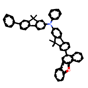 CC1(C)c2cc(-c3ccccc3)ccc2-c2ccc(N(c3ccccc3)c3ccc4c(c3)C(C)(C)c3cc(-c5cc6c7ccccc7oc6c6ccccc56)ccc3-4)cc21